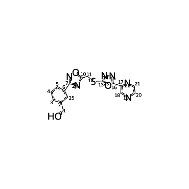 OCc1cccc(-c2noc(CSc3nnc(-c4cnccn4)o3)n2)c1